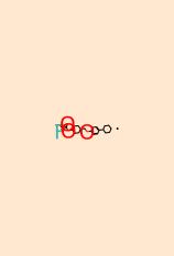 CC[C@H](F)C(=O)OC1CCC(COc2ccc(C3CC[CH]CC3)cc2)CC1